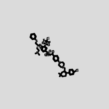 CN(C)CC[C@H](CSc1ccccc1)Nc1ccc(S(=O)(=O)NC(=O)c2ccc(N3CCN(CC4=C(c5ccc(Cl)cc5)CCC(C)(C)C4)CC3)cc2)cc1S(=O)(=O)C(F)(F)Cl